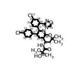 CC1(C)CC(NC(=O)C(C)(C)O)c2cc(-c3ccc(Cl)cc3)c(-c3ccc(Cl)cc3-c3ncon3)nc2O1